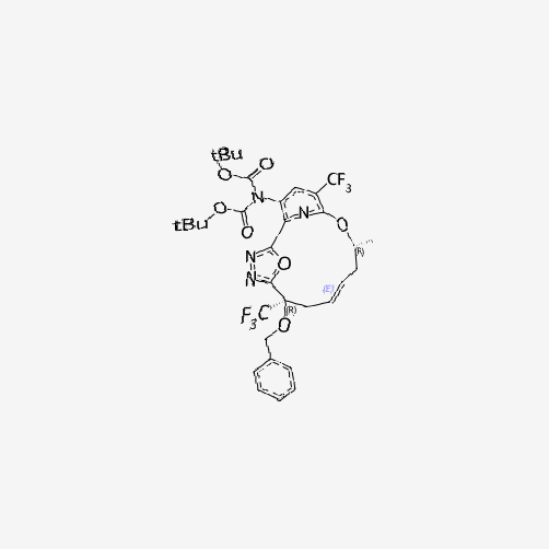 C[C@@H]1C/C=C/C[C@](OCc2ccccc2)(C(F)(F)F)c2nnc(o2)-c2nc(c(C(F)(F)F)cc2N(C(=O)OC(C)(C)C)C(=O)OC(C)(C)C)O1